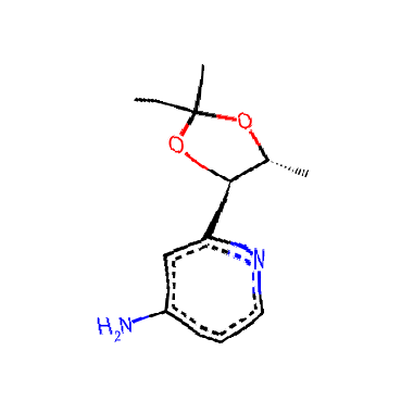 C[C@H]1OC(C)(C)O[C@@H]1c1cc(N)ccn1